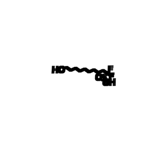 O=S(O)C(F)(F)CCCCCCCCCO